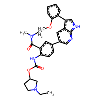 CCN1CCC(OC(=O)Nc2ccc(-c3cnc4[nH]cc(-c5ccccc5OC)c4c3)cc2C(=O)N(C)C)C1